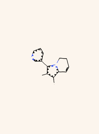 CC(=O)c1c(C)c(-c2cccnc2)n2c1C=CCC2